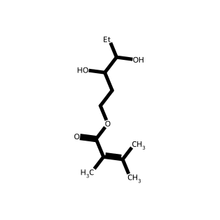 CCC(O)C(O)CCOC(=O)C(C)=C(C)C